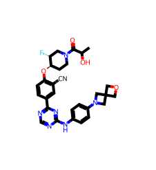 CC(O)C(=O)N1CC[C@H](Oc2ccc(-c3ncnc(Nc4ccc(N5CC6(COC6)C5)cc4)n3)cc2C#N)[C@H](F)C1